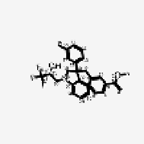 C=C(OC)c1cccc(CC2(c3cccc(C)c3)CN(C[C@@H](O)C(F)(F)F)c3ccccc32)c1